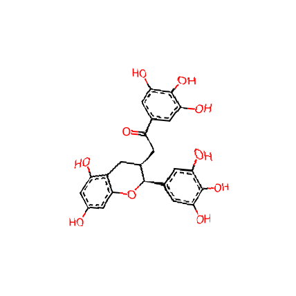 O=C(C[C@@H]1Cc2c(O)cc(O)cc2O[C@@H]1c1cc(O)c(O)c(O)c1)c1cc(O)c(O)c(O)c1